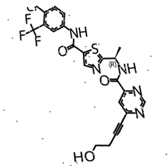 C[C@@H](NC(=O)c1cc(C#CCCO)ncn1)c1ncc(C(=O)Nc2ccc(Cl)c(C(F)(F)F)c2)s1